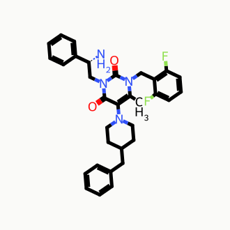 Cc1c(N2CCC(Cc3ccccc3)CC2)c(=O)n(C[C@@H](N)c2ccccc2)c(=O)n1Cc1c(F)cccc1F